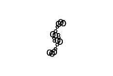 C=CC(=O)OCOc1ccc(-c2ccc(C(=O)Oc3ccc4ccccc4c3-c3c(OC(=O)c4ccc(-c5ccc(OCOC(=O)C=C)cc5)cc4)ccc4ccccc34)cc2)cc1